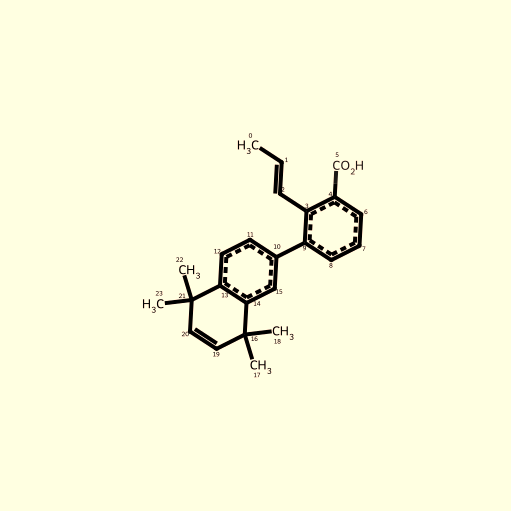 CC=Cc1c(C(=O)O)cccc1-c1ccc2c(c1)C(C)(C)C=CC2(C)C